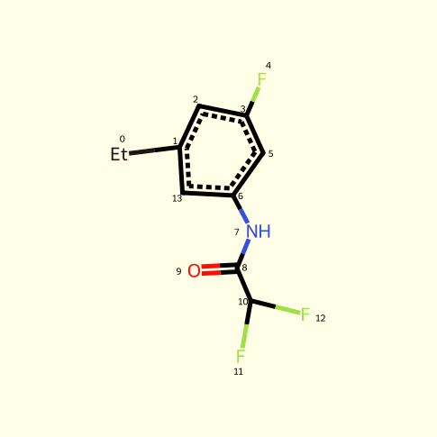 CCc1cc(F)cc(NC(=O)C(F)F)c1